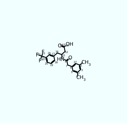 Cc1cc(C)cc(CC(=O)NC(CC(=O)O)Cc2cccc(C(F)(F)F)c2)c1